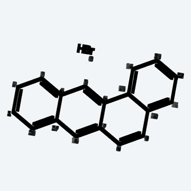 Br.c1ccc2cc3c(ccc4ccccc43)cc2c1